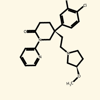 CO[C@@H]1CCN(CC[C@]2(c3ccc(Cl)c(Cl)c3)CCC(=O)N(c3ccccn3)C2)C1